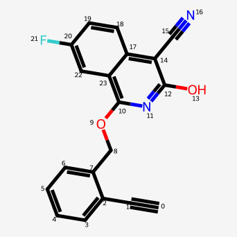 C#Cc1ccccc1COc1nc(O)c(C#N)c2ccc(F)cc12